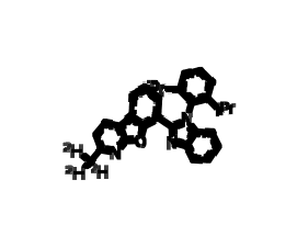 [2H]C([2H])([2H])c1ccc2c(n1)oc1c(-c3nc4ccccc4n3-c3c(C(C)C)cccc3C(C)C)cccc12